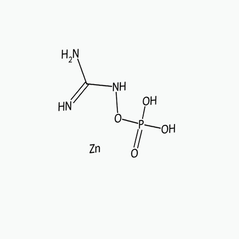 N=C(N)NOP(=O)(O)O.[Zn]